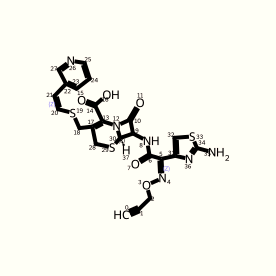 C#CCO/N=C(\C(=O)NC1C(=O)N2C(C(=O)O)=C(CS/C=C\c3cccnc3)CS[C@H]12)c1csc(N)n1